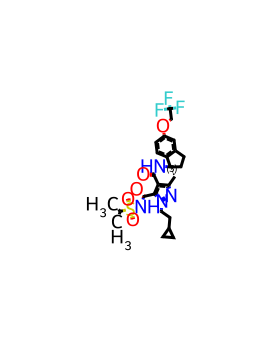 CC(C)S(=O)(=O)NC(=O)c1c2c(nn1CCC1CC1)C[C@]1(CCc3cc(OCC(F)(F)F)ccc31)NC2=O